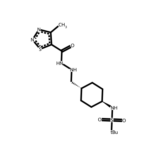 Cc1nnsc1C(=O)NNC[C@H]1CC[C@H](NS(=O)(=O)C(C)(C)C)CC1